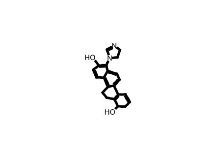 Oc1ccc2c3c(ccc2c1N1C=NCC1)C1=C(CC3)C(O)CC=C1